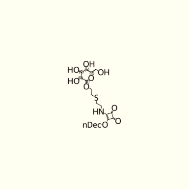 CCCCCCCCCCOc1c(NCCSCCO[C@@H]2O[C@H](CO)[C@@H](O)[C@H](O)[C@H]2O)c(=O)c1=O